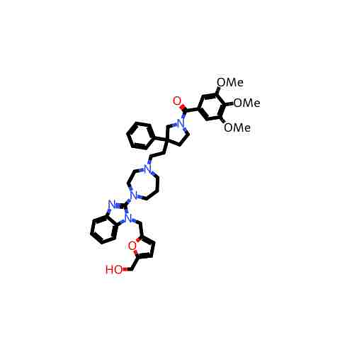 COc1cc(C(=O)N2CCC(CCN3CCCN(c4nc5ccccc5n4Cc4ccc(CO)o4)CC3)(c3ccccc3)C2)cc(OC)c1OC